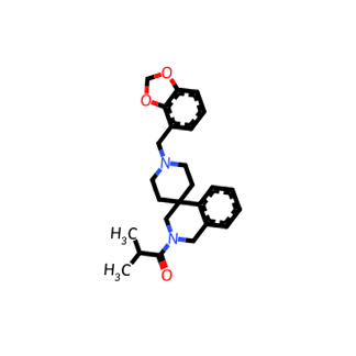 CC(C)C(=O)N1Cc2ccccc2C2(CCN(Cc3cccc4c3OCO4)CC2)C1